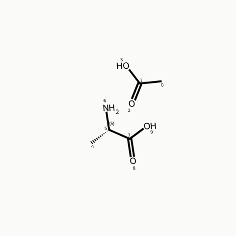 CC(=O)O.C[C@H](N)C(=O)O